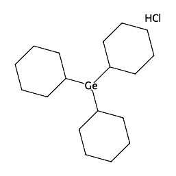 C1CC[CH]([Ge]([CH]2CCCCC2)[CH]2CCCCC2)CC1.Cl